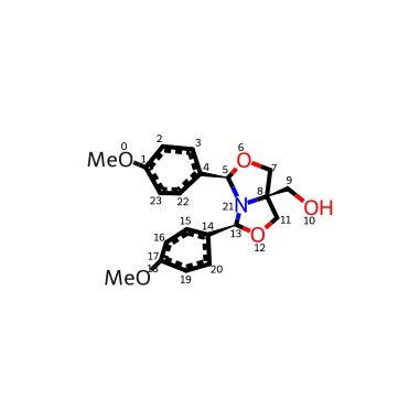 COc1ccc([C@H]2OC[C@]3(CO)CO[C@@H](c4ccc(OC)cc4)N23)cc1